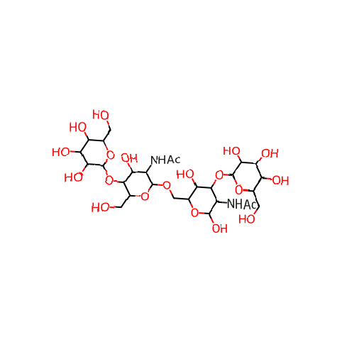 CC(=O)NC1C(OCC2OC(O)C(NC(C)=O)C(OC3OC(CO)C(O)C(O)C3O)C2O)OC(CO)C(OC2OC(CO)C(O)C(O)C2O)C1O